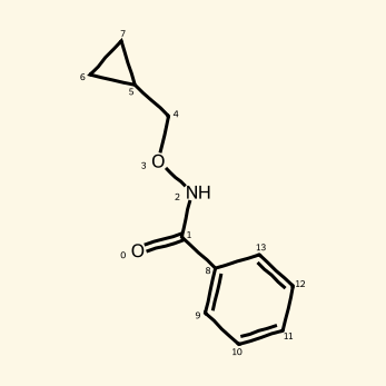 O=C(NOCC1CC1)c1ccccc1